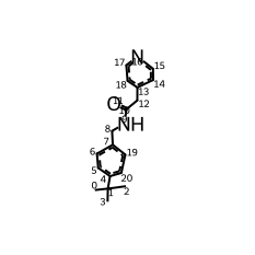 CC(C)(C)c1ccc(CNC(=O)Cc2ccncc2)cc1